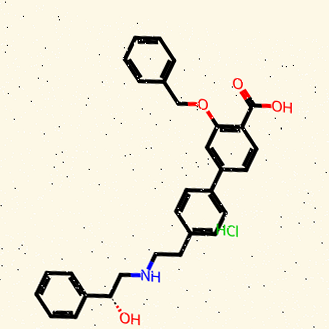 Cl.O=C(O)c1ccc(-c2ccc(CCNC[C@H](O)c3ccccc3)cc2)cc1OCc1ccccc1